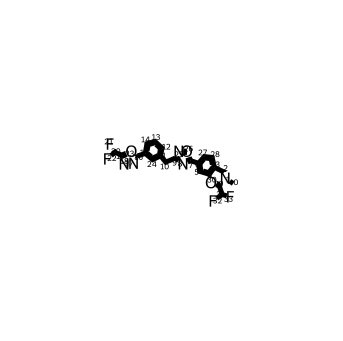 CN(Cc1ccc(-c2nc(Cc3cccc(-c4nnc(C(F)F)o4)c3)no2)cc1)C(=O)C(F)F